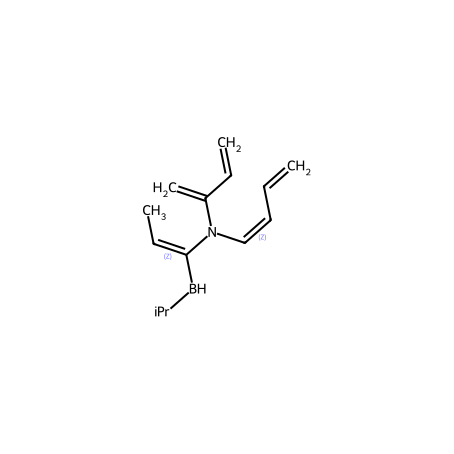 C=C/C=C\N(C(=C)C=C)/C(BC(C)C)=C\C